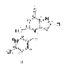 Cc1cc(=O)n2nc(Cl)cc2n1Cc1cnc(Cl)c(F)c1